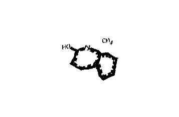 C.Oc1ccc2ccccc2n1